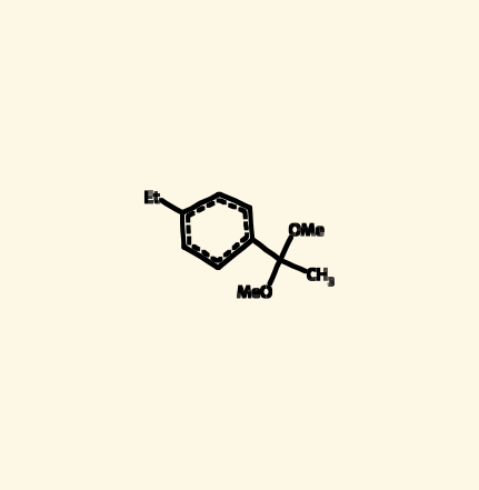 CCc1ccc(C(C)(OC)OC)cc1